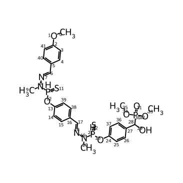 COc1ccc(/C=N/N(C)[PH](=S)Oc2ccc(/C=N/N(C)[PH](=S)Oc3ccc(C(O)P(=O)(OC)OC)cc3)cc2)cc1